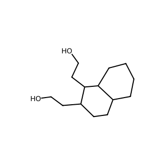 OCCC1CCC2CCCCC2C1CCO